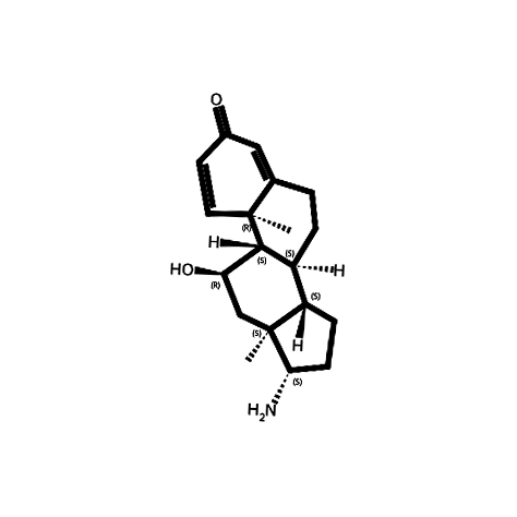 C[C@]12C[C@@H](O)[C@H]3[C@@H](CCC4=CC(=O)C=C[C@@]43C)[C@@H]1CC[C@@H]2N